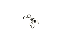 Cl.NC1(Cc2ccc3ccccc3c2)CC1c1cccc(Cl)c1